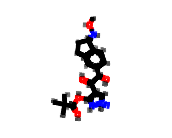 CON=C1CCc2cc(C(=O)C(=O)c3c[nH]nc3OC(=O)C(C)(C)C)ccc21